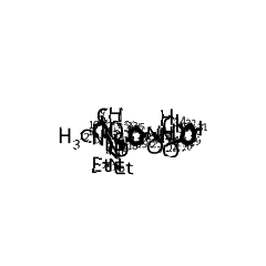 CCN(CC)CCN(c1nc(C)cc(C)n1)S(=O)(=O)c1ccc(NC(=O)NC(=O)c2ccc(I)cc2Cl)cc1